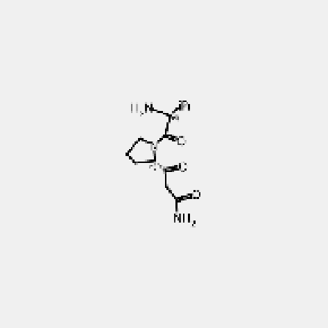 CC(C)[C@H](N)C(=O)N1CCC[C@H]1C(=O)CC(N)=O